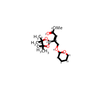 COC(=O)/C=C(/COC1CCCCO1)B1OC(C)(C)C(C)(C)O1